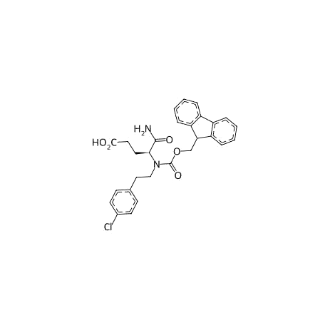 NC(=O)[C@H](CCC(=O)O)N(CCc1ccc(Cl)cc1)C(=O)OCC1c2ccccc2-c2ccccc21